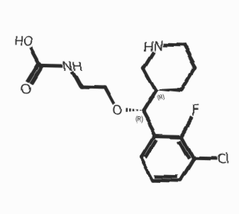 O=C(O)NCCO[C@@H](c1cccc(Cl)c1F)[C@@H]1CCCNC1